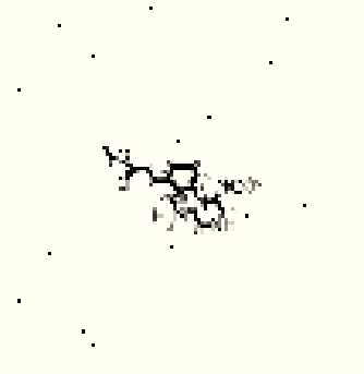 CCOC(=O)CCc1cccc(N2CCNCC2N=C=O)c1CN